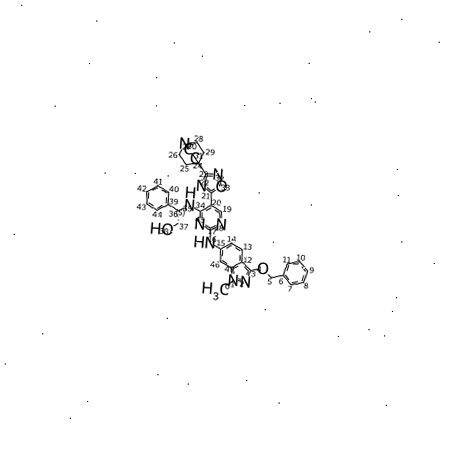 Cn1nc(OCc2ccccc2)c2ccc(Nc3ncc(-c4nc(C56CCN(CC5)CC6)no4)c(N[C@H](CO)c4ccccc4)n3)cc21